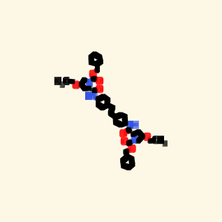 CCO[C@@H]1C[C@@H](C(=O)Nc2ccc(/C=C/c3ccc(NC(=O)[C@@H]4C[C@H](OCC)CN4C(=O)OCc4ccccc4)cc3)cc2)N(C(=O)OCc2ccccc2)C1